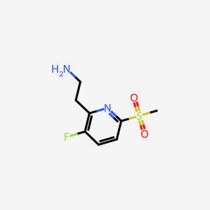 CS(=O)(=O)c1ccc(F)c(CCN)n1